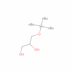 CCC[CH2][Sn]([CH2]CCC)([CH2]CCC)[O]CC(O)CO